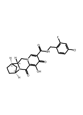 O=C(NCc1ccc(Cl)cc1F)c1cn2c(c(O)c1=O)C(=O)N1[C@H]3CC[C@H](C3)[C@@H]1C2